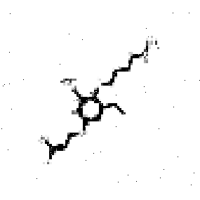 CCc1cc(OCC=C(Cl)Cl)cc(C)c1OCCCCON.Cl